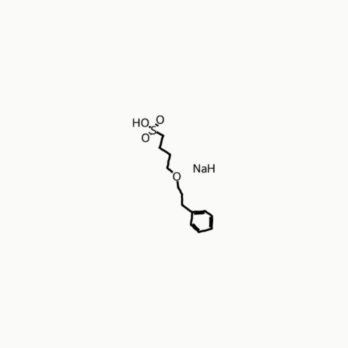 O=S(=O)(O)CCCCOCCCc1ccccc1.[NaH]